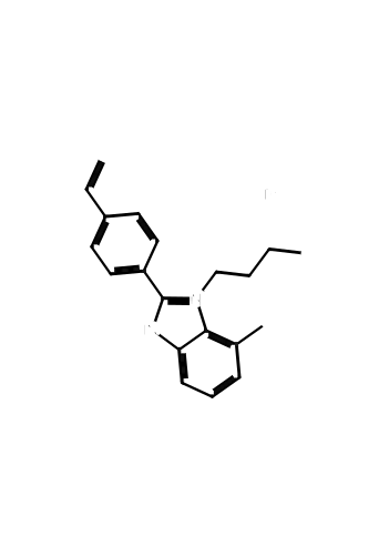 C=Cc1ccc(-c2[nH]c3cccc(C)c3[n+]2CCCC)cc1.[Br-]